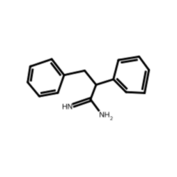 N=C(N)[C](Cc1ccccc1)c1ccccc1